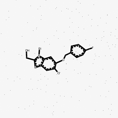 CCn1c(CO)nc2cc(Cl)c(OCc3ccc(F)cc3)cc21